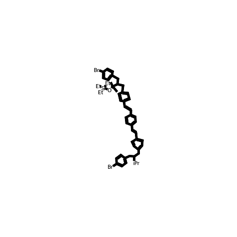 CC[Si](CC)(CC)OC(C)(C)C(Cc1ccc(Br)cc1)Cc1ccc(/C=C/c2ccc(/C=C/c3ccc(CC(Cc4ccc(Br)cc4)C(C)C)cc3)cc2)cc1